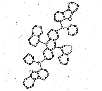 c1ccc(N(c2ccc3c(-c4cccc5ccccc45)c4cc(N(c5ccccc5)c5cccc6c5oc5ccccc56)ccc4c(-c4cccc5ccccc45)c3c2)c2cccc3c2oc2ccccc23)cc1